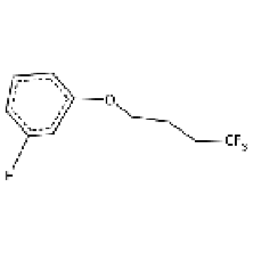 Fc1cc[c]c(OCCCC(F)(F)F)c1